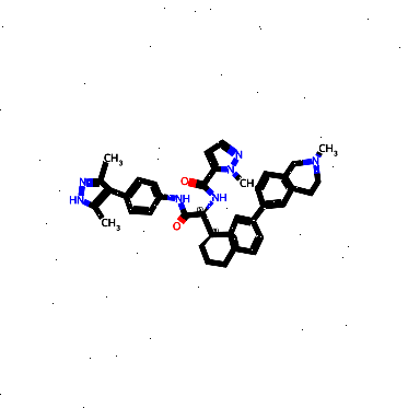 Cc1n[nH]c(C)c1-c1ccc(NC(=O)[C@@H](NC(=O)c2ccnn2C)[C@@H]2CCCc3ccc(-c4ccc5c(c4)CCN(C)C5)cc32)cc1